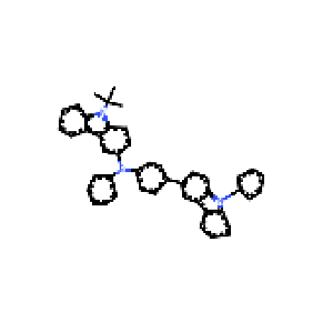 CC(C)(C)n1c2ccccc2c2cc(N(c3ccccc3)c3ccc(-c4ccc5c(c4)c4ccccc4n5-c4ccccc4)cc3)ccc21